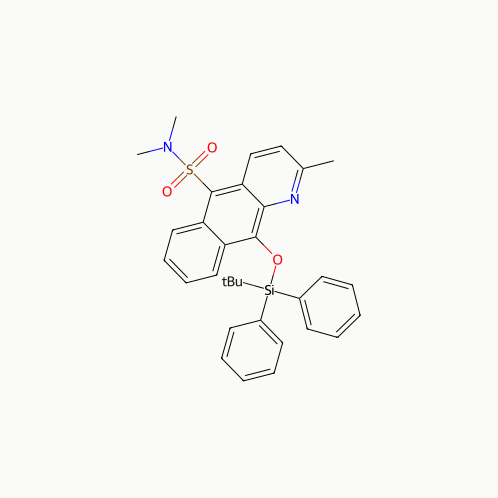 Cc1ccc2c(S(=O)(=O)N(C)C)c3ccccc3c(O[Si](c3ccccc3)(c3ccccc3)C(C)(C)C)c2n1